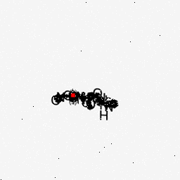 Cc1cc(C(=O)c2ccc(-c3cnn(CC45CC6(OCCN7CCOCC7)C[C@](C)(C4)C[C@](C)(C5)C6)c3C)c(C(=O)OC(C)(C)C)n2)nnc1Nc1nc2ccccc2s1